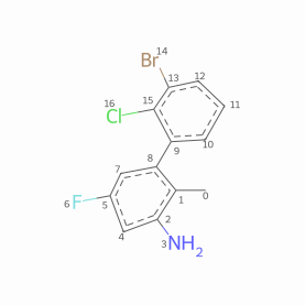 Cc1c(N)cc(F)cc1-c1cccc(Br)c1Cl